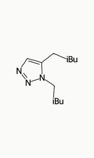 CCC(C)Cc1cnnn1CC(C)CC